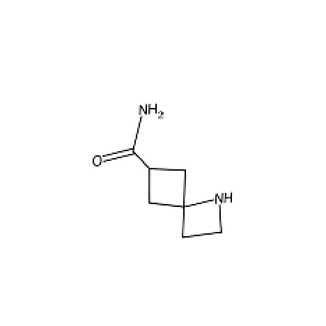 NC(=O)C1CC2(CCN2)C1